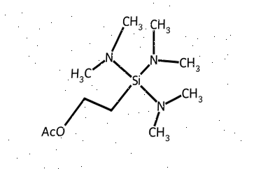 CC(=O)OCC[Si](N(C)C)(N(C)C)N(C)C